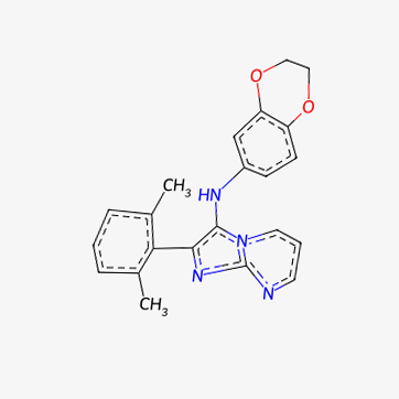 Cc1cccc(C)c1-c1nc2ncccn2c1Nc1ccc2c(c1)OCCO2